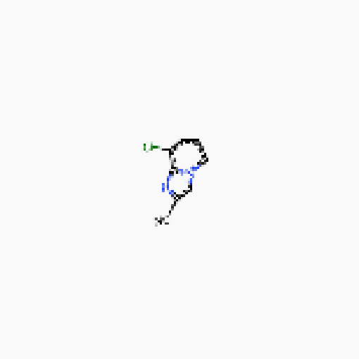 N#Cc1cn2cccc(Cl)c2n1